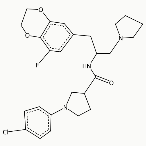 O=C(NC(Cc1cc(F)c2c(c1)OCCO2)CN1CCCC1)C1CCN(c2ccc(Cl)cc2)C1